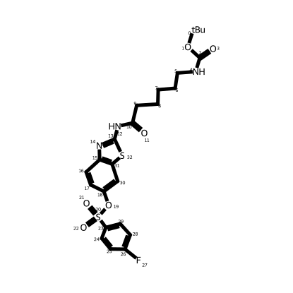 CC(C)(C)OC(=O)NCCCCCC(=O)Nc1nc2ccc(OS(=O)(=O)c3ccc(F)cc3)cc2s1